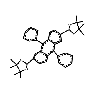 CC1(C)OB(c2ccc3c(-c4ccccc4)c4cc(B5OC(C)(C)C(C)(C)O5)ccc4c(-c4ccccc4)c3c2)OC1(C)C